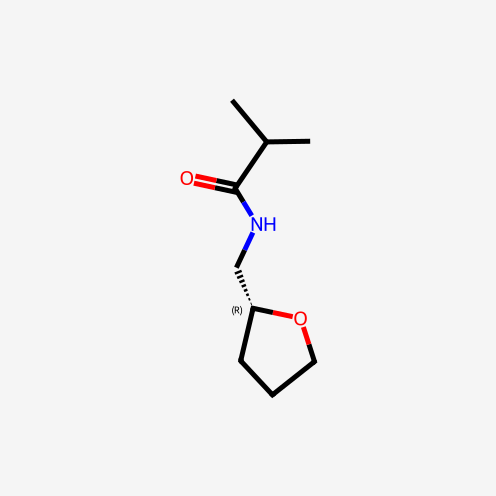 CC(C)C(=O)NC[C@H]1CCCO1